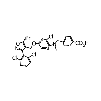 CC(C)c1onc(-c2c(Cl)cccc2Cl)c1COc1cnc(N(C)Cc2ccc(C(=O)O)cc2)c(Cl)c1